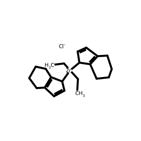 C[CH2][Zr]([CH2]C)([CH]1C=CC2=C1CCCC2)[CH]1C=CC2=C1CCCC2.[Cl-]